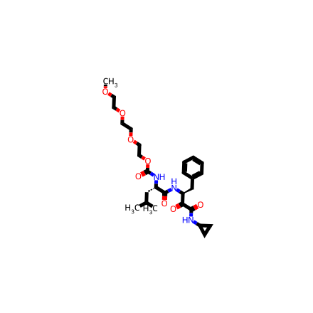 COCCOCCOCCOC(=O)N[C@@H](CC(C)C)C(=O)N[C@@H](Cc1ccccc1)C(=O)C(=O)NC1CC1